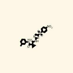 Cc1cccc(NC(=O)C2(C(=O)Nc3ncc(S(=O)(=O)c4ccc([N+](=O)[O-])cc4)s3)CC2)c1